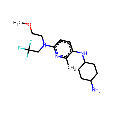 COCCN(CC(F)(F)F)c1ccc(NC2CCC(N)CC2)c(C)n1